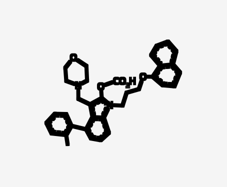 Cc1ccccc1-c1cccc2c1c(CN1CCOCC1)c(OC(=O)O)n2CCCOc1cccc2ccccc12